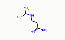 CC(C)NCCC(=N)N